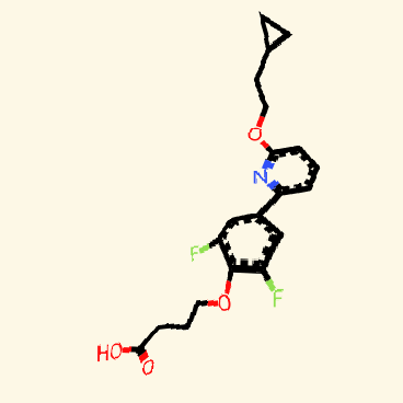 O=C(O)CCCOc1c(F)cc(-c2cccc(OCCC3CC3)n2)cc1F